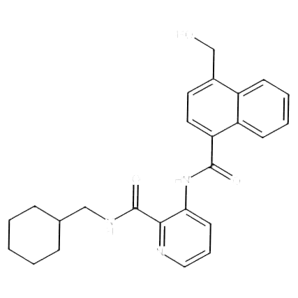 O=C(NCC1CCCCC1)c1ncccc1NC(=O)c1ccc(CO)c2ccccc12